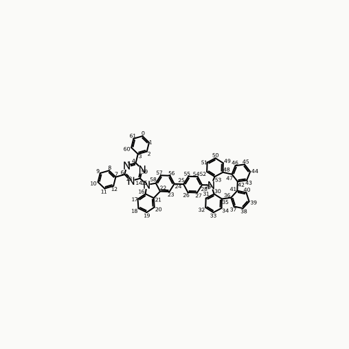 c1ccc(-c2nc(-c3ccccc3)nc(-n3c4ccccc4c4cc(-c5ccc(-n6c7ccccc7c7ccccc7c7ccccc7c7ccccc76)cc5)ccc43)n2)cc1